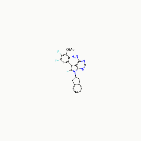 COc1cc(-c2c(F)n(C3Cc4ccccc4C3)c3ncnc(N)c23)cc(F)c1F